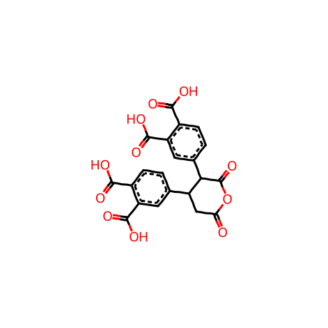 O=C1CC(c2ccc(C(=O)O)c(C(=O)O)c2)C(c2ccc(C(=O)O)c(C(=O)O)c2)C(=O)O1